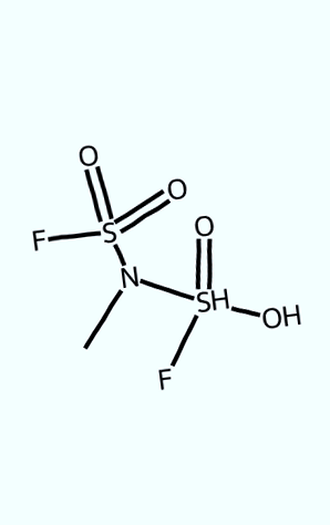 CN(S(=O)(=O)F)[SH](=O)(O)F